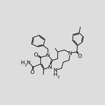 Cc1ccc(C(=O)N(CCCN)CC(C)Cc2nc(C)c(C(N)=O)c(=O)n2Cc2ccccc2)cc1